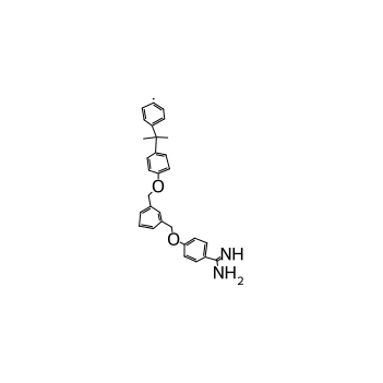 CC(C)(c1cc[c]cc1)c1ccc(OCc2cccc(COc3ccc(C(=N)N)cc3)c2)cc1